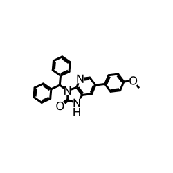 COc1ccc(-c2cnc3c(c2)[nH]c(=O)n3C(c2ccccc2)c2ccccc2)cc1